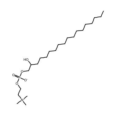 CCCCCCCCCCCCCCCCC(O)COP(=O)([O-])OCC[N+](C)(C)C